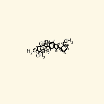 C=C(C)C(=C)CC(C)(C)C(C)Cc1ccc2c(c1)CC(c1cccnc1CC)=C2